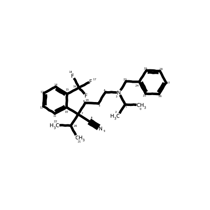 CC(C)N(CCCC(C#N)(c1ccccc1C(F)(F)F)C(C)C)Cc1ccccc1